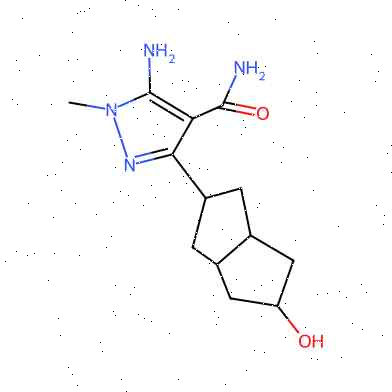 Cn1nc(C2CC3CC(O)CC3C2)c(C(N)=O)c1N